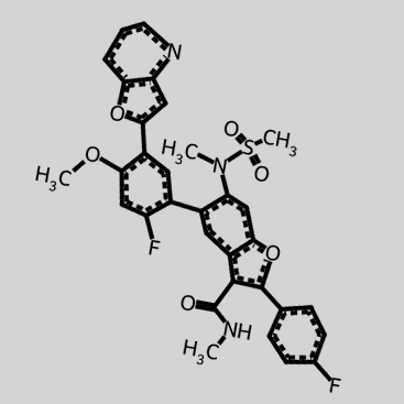 CNC(=O)c1c(-c2ccc(F)cc2)oc2cc(N(C)S(C)(=O)=O)c(-c3cc(-c4cc5ncccc5o4)c(OC)cc3F)cc12